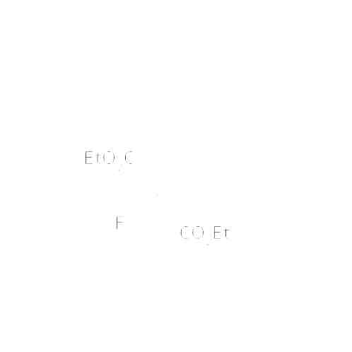 CCOC(=O)C(F)(C(=O)OCC)C1CCCC1